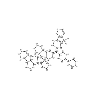 CC1(C)C2=C(CCC=C2)C2=C1CC(N(C1CCC(C3C=CCCC3)CC1)C1CCC3=C(C1)C1CCCCC1C31C3CCCCC3C3C4CCCC5C6CCCCC6C(CC31)C54)CC2